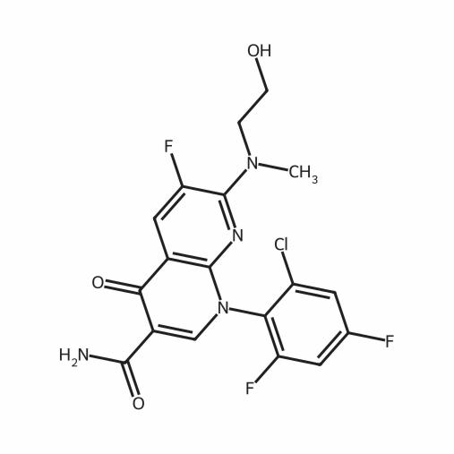 CN(CCO)c1nc2c(cc1F)c(=O)c(C(N)=O)cn2-c1c(F)cc(F)cc1Cl